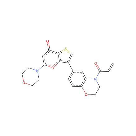 C=CC(=O)N1CCOc2ccc(-c3csc4c(=O)cc(N5CCOCC5)oc34)cc21